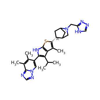 Cc1c(-c2[nH]c3sc([C@@H]4CC5CC4CN5Cc4nnc[nH]4)c(C)c3c2C(C)C)cn2ncnc2c1C